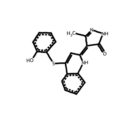 CC1=NNC(=O)/C1=C1/C=C(Sc2ccccc2O)c2ccccc2N1